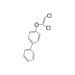 Cl/C=C(\Cl)Oc1ccc(-c2ccccc2)cc1